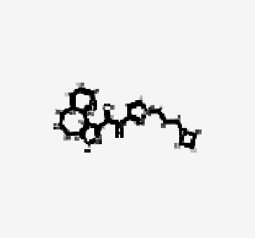 O=C(Nc1ccn(CCCN2CCC2)n1)c1n[nH]c2c1-c1ncccc1CCC2